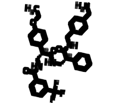 CCOc1ccc([C@@H](CNC(=O)c2cccc(C(F)(F)F)c2)C(=O)NC[C@H](C(=O)NCc2ccc(CN)cc2)c2ccccc2)cc1